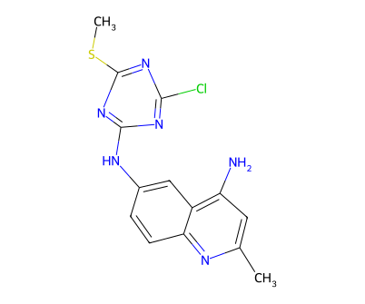 CSc1nc(Cl)nc(Nc2ccc3nc(C)cc(N)c3c2)n1